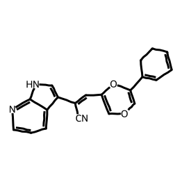 N#C/C(=C\C1=COC=C(C2=CC=CCC2)O1)c1c[nH]c2ncccc12